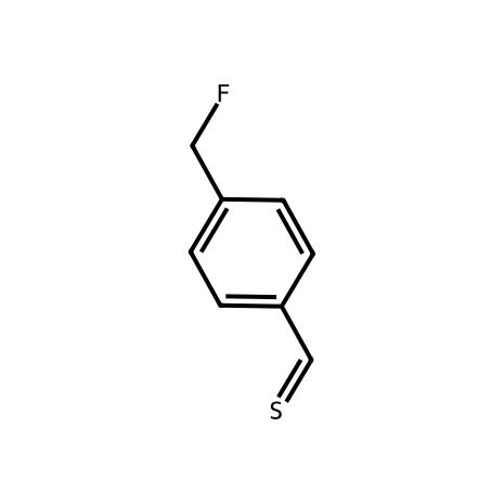 FCc1ccc(C=S)cc1